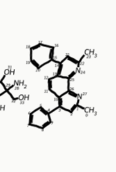 Cc1cc(-c2ccccc2)c2ccc3c(-c4ccccc4)cc(C)nc3c2n1.NC(CO)(CO)CO